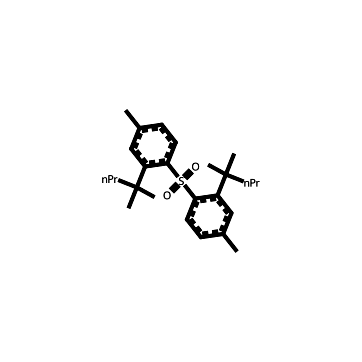 CCCC(C)(C)c1cc(C)ccc1S(=O)(=O)c1ccc(C)cc1C(C)(C)CCC